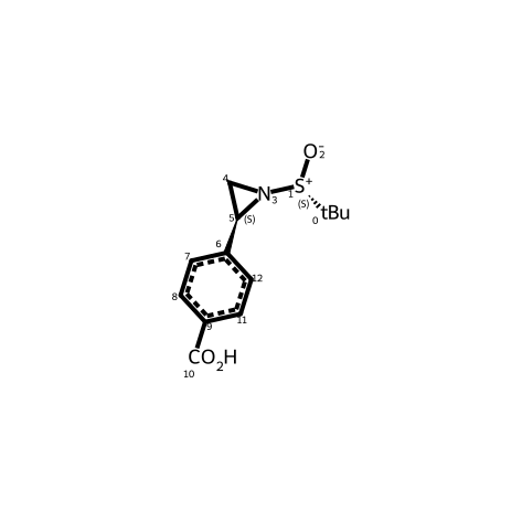 CC(C)(C)[S@@+]([O-])N1C[C@@H]1c1ccc(C(=O)O)cc1